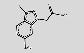 COC(=O)Cn1nc(I)c2ccc(SC)cc21